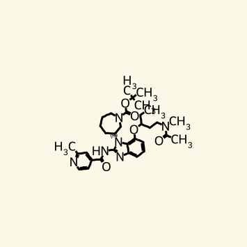 CCC(CCN(C)C(C)=O)Oc1cccc2nc(NC(=O)c3ccnc(C)c3)n([C@@H]3CCCCN(C(=O)OC(C)(C)C)C3)c12